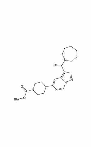 CC(C)(C)OC(=O)N1CCC(c2ccn3ncc(C(=O)N4CCCCCC4)c3c2)CC1